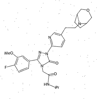 COc1cc(-c2nn(-c3ccc(CCN4C5CCC4COC5)cn3)c(=O)n2CC(=O)NC(C)C)ccc1F